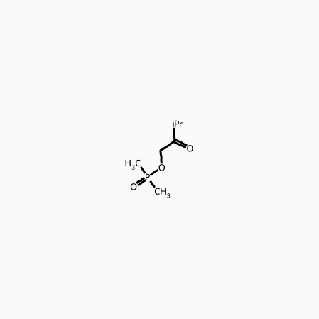 CC(C)C(=O)COP(C)(C)=O